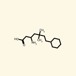 CC(C)(CCC1CCCCC1)CC(N)CC(=O)O